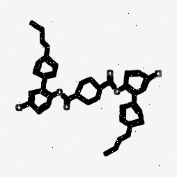 CCCCc1ccc(-c2cc(Cl)ccc2OC(=O)C2CCC(C(=O)Oc3ccc(Cl)cc3-c3ccc(CCCC)cc3)CC2)cc1